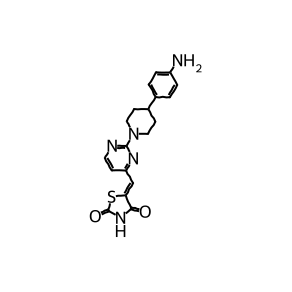 Nc1ccc(C2CCN(c3nccc(/C=C4\SC(=O)NC4=O)n3)CC2)cc1